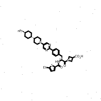 CCC[C@H]1CC[C@H](C2CCN(c3cnc(-c4ccc(C[C@H](NC(=O)c5ccc(CC)s5)C(=O)N5CC(C(=O)O)C5)cc4)nc3)CC2)CC1